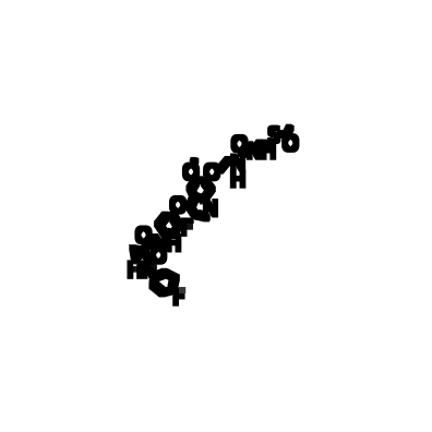 COc1cc2c(Oc3ccc(NC(=O)C4(C(=O)Nc5ccc(F)cc5)CC4)cc3F)ccnc2cc1OCCNC(=O)NCCSC(C)=O